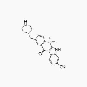 CC1(C)c2ccc(CC3CCNCC3)cc2C(=O)c2c1[nH]c1cc(C#N)ccc21